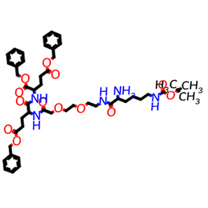 CC(C)(C)OC(=O)NCCCCC(N)C(=O)NCCOCCOCC(=O)NC(CCC(=O)OCc1ccccc1)C(=O)NC(CCC(=O)OCc1ccccc1)C(=O)OCc1ccccc1